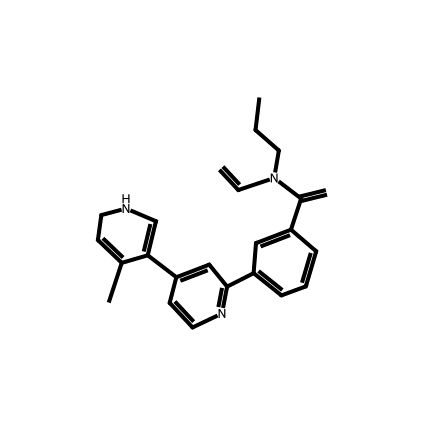 C=CN(CCC)C(=C)c1cccc(-c2cc(C3=CNCC=C3C)ccn2)c1